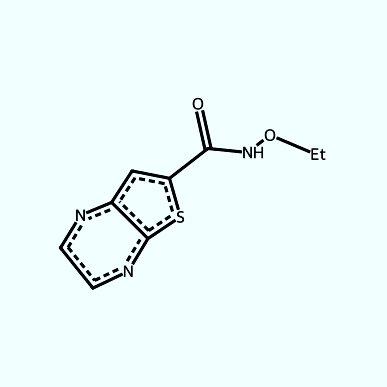 CCONC(=O)c1cc2nccnc2s1